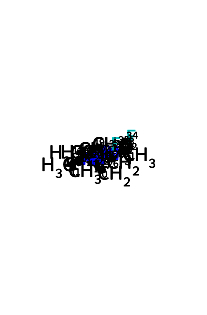 C=C/C=C1/CN(C(CCC(C)C)C(C)C)C(C)(CCC)CN1/C=C(\C)C(=C)NCc1c(C)cc(F)cc1F